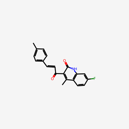 Cc1ccc(/C=C/C(=O)c2c(C)c3ccc(F)cc3[nH]c2=O)cc1